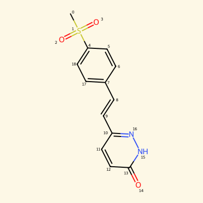 CS(=O)(=O)c1ccc(C=Cc2ccc(=O)[nH]n2)cc1